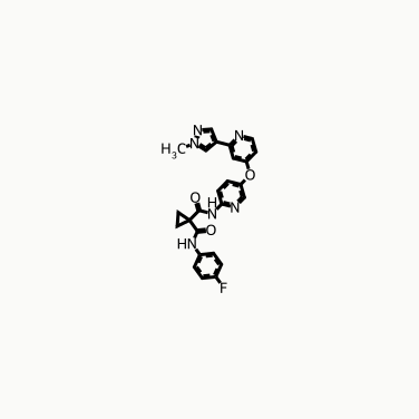 Cn1cc(-c2cc(Oc3ccc(NC(=O)C4(C(=O)Nc5ccc(F)cc5)CC4)nc3)ccn2)cn1